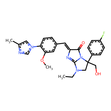 CCN1CC(CO)(c2ccc(F)cc2)N2C(=O)/C(=C/c3ccc(-n4cnc(C)c4)c(OC)c3)N=C12